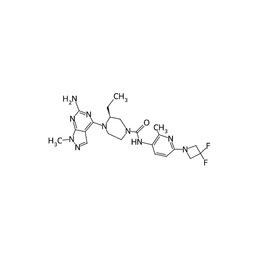 CC[C@H]1CN(C(=O)Nc2ccc(N3CC(F)(F)C3)nc2C)CCN1c1nc(N)nc2c1cnn2C